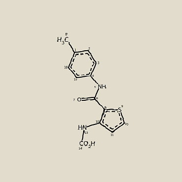 Cc1ccc(NC(=O)c2sccc2NC(=O)O)cc1